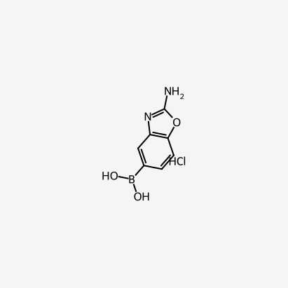 Cl.Nc1nc2cc(B(O)O)ccc2o1